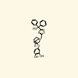 Oc1ccc(O[C@H]2C[N+]3(Cc4nc(C(O)(c5ccccc5)c5ccccc5)no4)CCC2CC3)cc1O